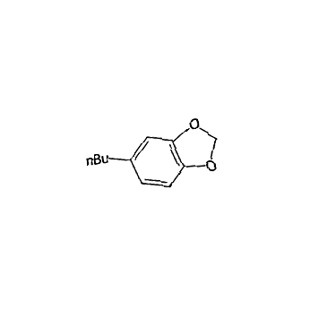 [CH2]CCCc1ccc2c(c1)OCO2